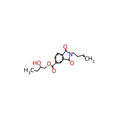 C=CCCN1C(=O)c2ccc(C(=O)OCC(O)CC)cc2C1=O